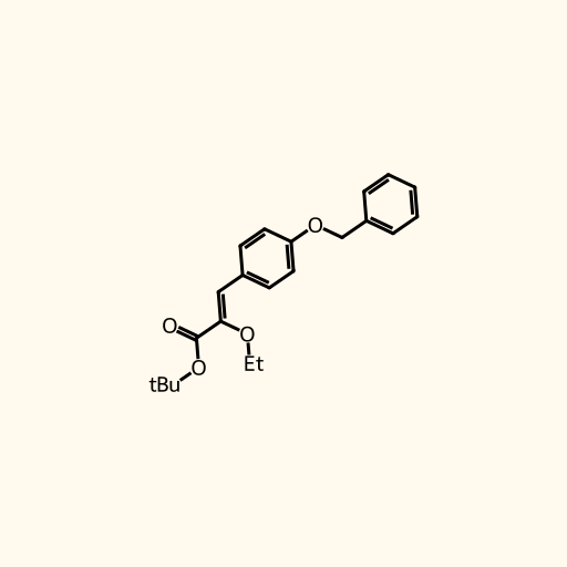 CCO/C(=C\c1ccc(OCc2ccccc2)cc1)C(=O)OC(C)(C)C